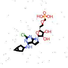 O=P(O)(O)COCC[C@H]1O[C@@H](n2ccc3c(NC4CC5CC5C4)nc(Cl)nc32)[C@H](O)[C@@H]1O